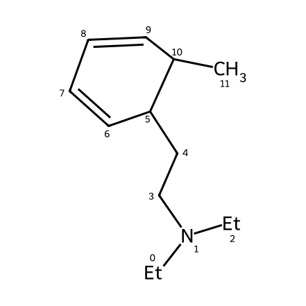 CCN(CC)CCC1C=CC=CC1C